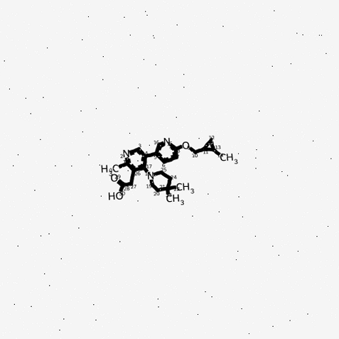 Cc1ncc(-c2ccc(OCC3CC3C)nc2)c(N2CCC(C)(C)CC2)c1CC(=O)O